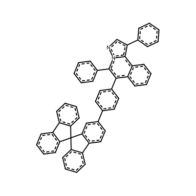 c1ccc(-c2cnn3c(-c4ccccc4)c(-c4ccc(-c5ccc6c(c5)C5(c7ccccc7-c7ccccc75)c5ccccc5-6)cc4)c4ccccc4c23)cc1